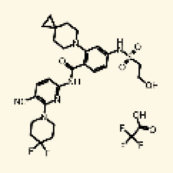 N#Cc1ccc(NC(=O)c2ccc(NS(=O)(=O)CCO)cc2N2CCC3(CC2)CC3)nc1N1CCC(F)(F)CC1.O=C(O)C(F)(F)F